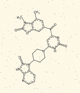 Cc1cc(C(=O)c2cc(N3CCC(n4c(=O)[nH]c5ncccc54)CC3)[nH]c(=O)n2)cc2oc(=O)n(C)c12